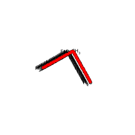 CCOC(C)=O.O.O.O.O.O.O.O.O.O.O.O.O.O.O.O.O.O.O.O.O.O.O.O.O.O.O.O.O.O.O.O.O.O.O.O.O.O.O.O.O.O.O.O.O.O.O.O.O.O.O.O.O.O.O.O.O.O.O.O.O.O.O.O.O.O.O.O.O.O.O.O.O.O.O.O.O.O.O.O.O.O.O.O.O.O.O.O.O.O.O